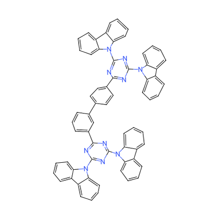 c1cc(-c2ccc(-c3nc(-n4c5ccccc5c5ccccc54)nc(-n4c5ccccc5c5ccccc54)n3)cc2)cc(-c2nc(-n3c4ccccc4c4ccccc43)nc(-n3c4ccccc4c4ccccc43)n2)c1